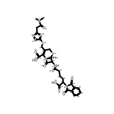 CN(C)C(=O)Cc1nnc(SCC2=C(C(=O)O)N3C(=O)C(NC(=S)CCCC(C(=O)O)N4C(=O)c5ccccc5C4=O)[C@@H]3SC2)s1